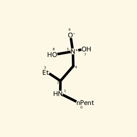 CCCCCNC(CC)C[N+]([O-])(O)O